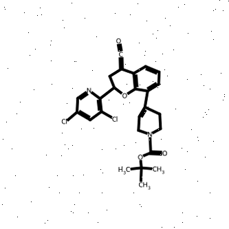 CC(C)(C)OC(=O)N1CC=C(c2cccc3c2OC(c2ncc(Cl)cc2Cl)CC3=C=O)CC1